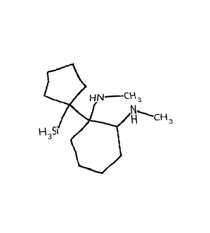 CNC1CCCCC1(NC)C1([SiH3])CCCC1